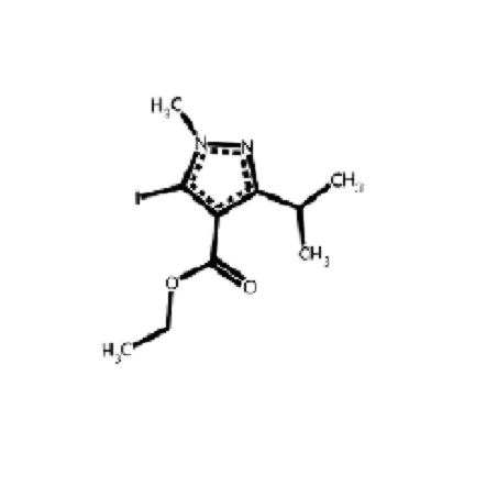 CCOC(=O)c1c(C(C)C)nn(C)c1I